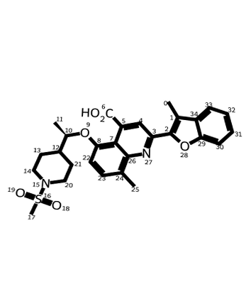 Cc1c(-c2cc(C(=O)O)c3c(O[C@H](C)C4CCN(S(C)(=O)=O)CC4)ccc(C)c3n2)oc2ccccc12